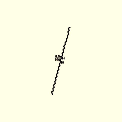 CCCCCCCCCCCCCCCCCCNC(=N)NC(N)CCCCCCCCCCCCCCCCC